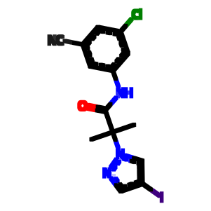 CC(C)(C(=O)Nc1cc(Cl)cc(C#N)c1)n1cc(I)cn1